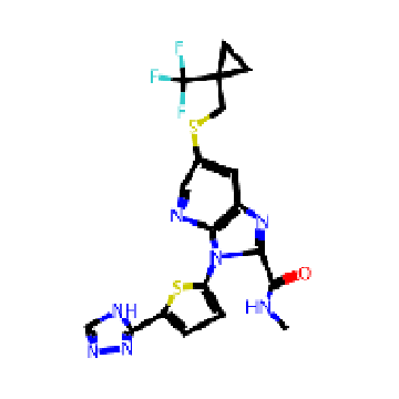 CNC(=O)c1nc2cc(SCC3(C(F)(F)F)CC3)cnc2n1-c1ccc(-c2nnc[nH]2)s1